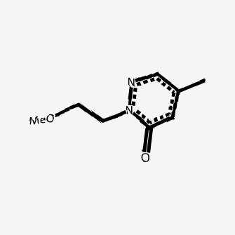 COCCn1ncc(C)cc1=O